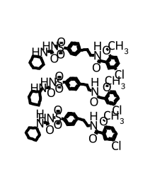 COc1ccc(Cl)cc1C(=O)NCCc1ccc(S(=O)(=O)NC(=O)NC2CCCCC2)cc1.COc1ccc(Cl)cc1C(=O)NCCc1ccc(S(=O)(=O)NC(=O)NC2CCCCC2)cc1.COc1ccc(Cl)cc1C(=O)NCCc1ccc(S(=O)(=O)NC(=O)NC2CCCCC2)cc1